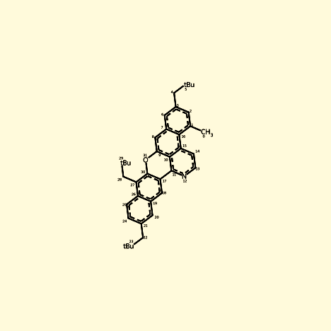 Cc1cc(CC(C)(C)C)cc2cc3c4c(nccc4c12)-c1cc2cc(CC(C)(C)C)ccc2c(CC(C)(C)C)c1O3